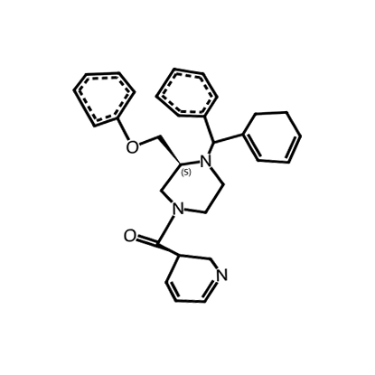 O=C(C1C=CC=NC1)N1CCN(C(C2=CC=CCC2)c2ccccc2)[C@H](COc2ccccc2)C1